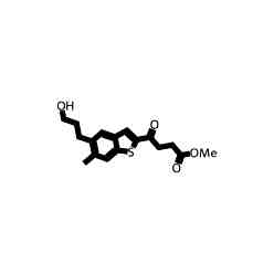 COC(=O)CCC(=O)c1cc2cc(CCCO)c(C)cc2s1